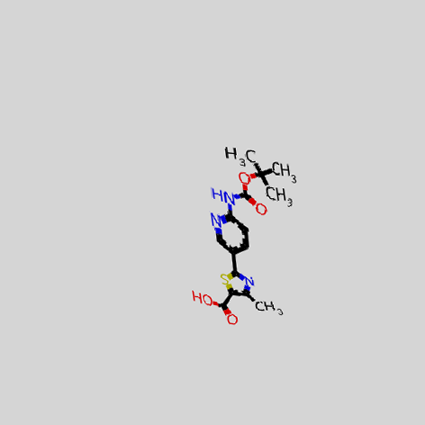 Cc1nc(-c2ccc(NC(=O)OC(C)(C)C)nc2)sc1C(=O)O